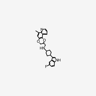 Cc1cc2c(c3cccnc13)O[C@@H](CNC1CCC(c3c[nH]c4ccc(F)cc34)CC1)CO2